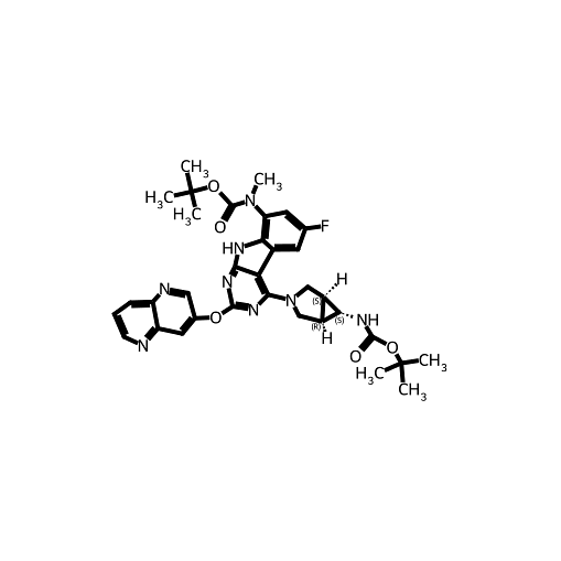 CN(C(=O)OC(C)(C)C)c1cc(F)cc2c1[nH]c1nc(Oc3cnc4cccnc4c3)nc(N3C[C@@H]4[C@H](C3)[C@H]4NC(=O)OC(C)(C)C)c12